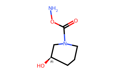 NOC(=O)N1CCC[C@@H](O)C1